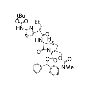 CCC=C(C(=O)N[C@@H]1C(=O)N2C(C(=O)OC(c3ccccc3)c3ccccc3)=C(COC(=O)NC)CS[C@@H]12)c1csc(NC(=O)OC(C)(C)C)n1